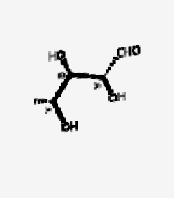 C[C@@H](O)[C@@H](O)[C@@H](O)C=O